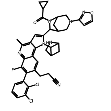 Cc1nc2c(F)c(-c3cccc(Cl)c3Cl)c(CCC#N)cc2c2c1cc(C1C3CC(CN(c4ccon4)C3)N1C(=O)C1CC1)n2C1C2CNC1C2